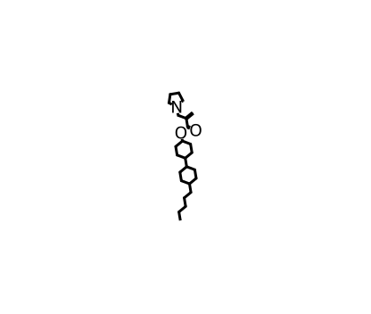 C=C(CN1CCCC1)C(=O)OC1CCC(C2CCC(CCCCC)CC2)CC1